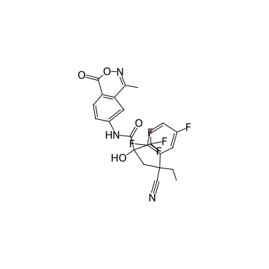 CCC(C#N)(CC(O)(C(=O)Nc1ccc2c(=O)onc(C)c2c1)C(F)(F)F)c1cc(F)ccc1F